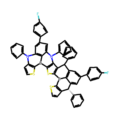 Fc1ccc(-c2cc3c4c(c2)[C@H](c2ccccc2)c2ccsc2B4c2sc4c(c2C3c2ccccc2)N(c2ccccc2)c2cc(-c3ccc(F)cc3)cc3c2B4c2sccc2N3c2ccccc2)cc1